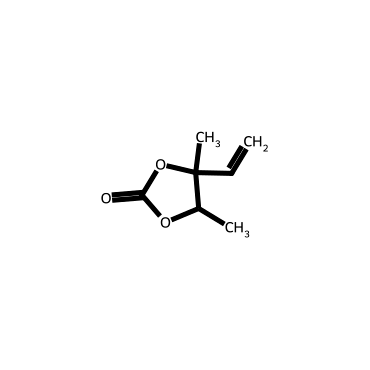 C=CC1(C)OC(=O)OC1C